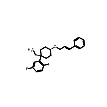 NC[C@]1(c2cc(F)ccc2F)CC[C@H](OC/C=C/c2ccccc2)CC1